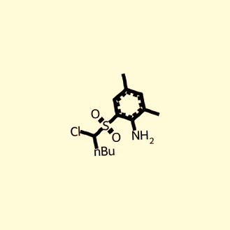 CCCCC(Cl)S(=O)(=O)c1cc(C)cc(C)c1N